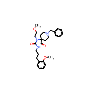 COCCN(C(=O)NCCCc1ccccc1OC)C1(C=O)CCN(Cc2ccccc2)CC1